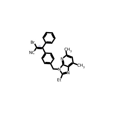 CCc1nc2c(C)cc(C)nc2n1Cc1ccc(/C(=C(/Br)C#N)c2ccccc2)cc1